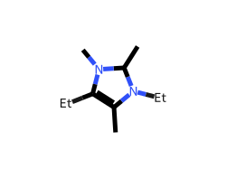 CCC1=C(C)N(CC)C(C)N1C